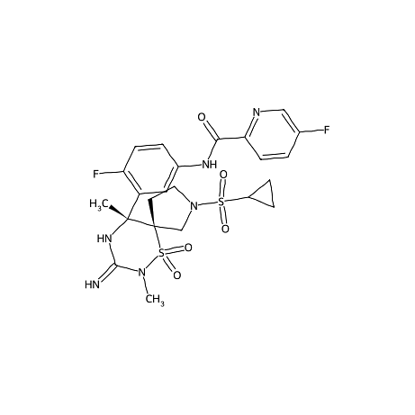 CN1C(=N)N[C@](C)(c2cc(NC(=O)c3ccc(F)cn3)ccc2F)[C@@]2(CCN(S(=O)(=O)C3CC3)C2)S1(=O)=O